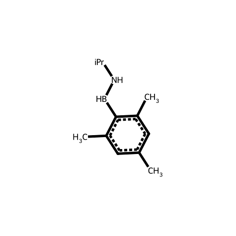 Cc1cc(C)c(BNC(C)C)c(C)c1